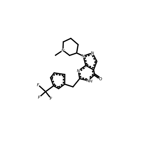 CN1CCCC(n2ncc3c(=O)[nH]c(Cc4cccc(C(F)(F)F)c4)nc32)C1